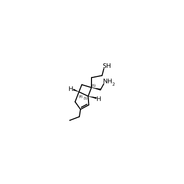 CCC1=C[C@@H]2[C@H](C1)C[C@]2(CN)CCS